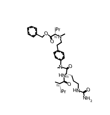 CC(C)[C@H](C)C(=O)N[C@@H](CCCNC(N)=O)C(=O)N(C)c1ccc(CCN(C)[C@H](C(=O)OCc2ccccc2)C(C)C)cc1